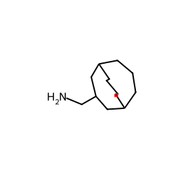 NCC1CC2CCCCC(CCC2)C1